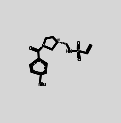 C=CS(=O)(=O)NC[C@H]1CCN(C(=O)c2ccc(CCCC)cc2)C1